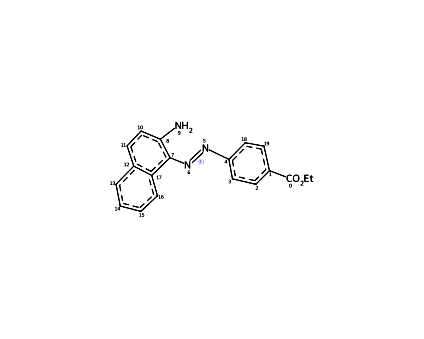 CCOC(=O)c1ccc(/N=N/c2c(N)ccc3ccccc23)cc1